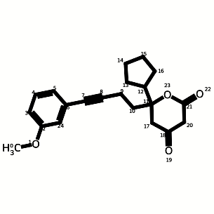 COc1cccc(C#CCCC2(C3CCCC3)CC(=O)CC(=O)O2)c1